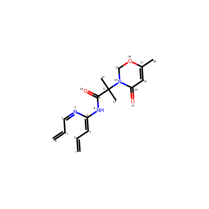 C=C/C=N\C(=C/C=C)NC(=O)C(C)(C)N1COC(C)=CC1=O